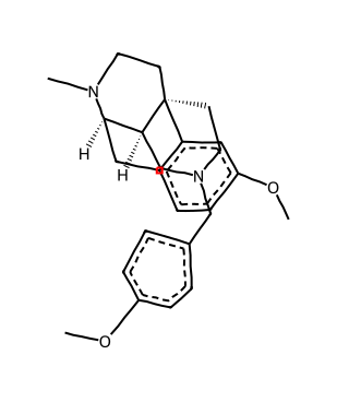 COc1ccc(CN2CC[C@]34CCN(C)[C@H](Cc5ccc(OC)cc53)[C@@H]4C2)cc1